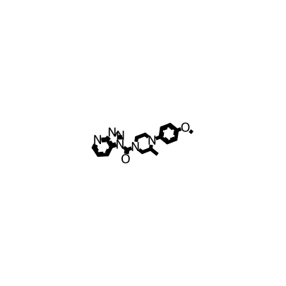 COc1ccc(N2CCN(C(=O)n3nnc4ncccc43)CC2C)cc1